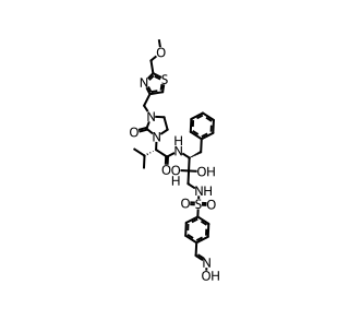 COCc1nc(CN2CCN([C@H](C(=O)N[C@@H](Cc3ccccc3)C(O)(O)CNS(=O)(=O)c3ccc(/C=N/O)cc3)C(C)C)C2=O)cs1